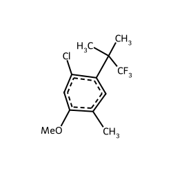 COc1cc(Cl)c(C(C)(C)C(F)(F)F)cc1C